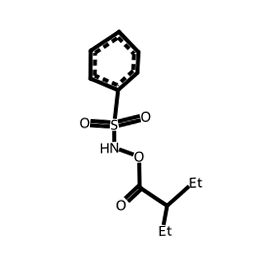 CCC(CC)C(=O)ONS(=O)(=O)c1ccccc1